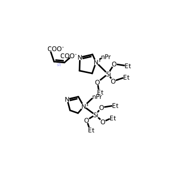 CCC[N+]1([Si](OCC)(OCC)OCC)C=NCC1.CCC[N+]1([Si](OCC)(OCC)OCC)C=NCC1.O=C([O-])/C=C\C(=O)[O-]